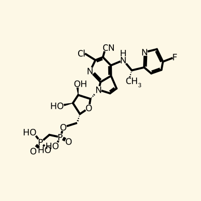 C[C@H](Nc1c(C#N)c(Cl)nc2c1ccn2[C@@H]1O[C@H](COP(=O)(O)CP(=O)(O)O)[C@@H](O)[C@H]1O)c1ccc(F)cn1